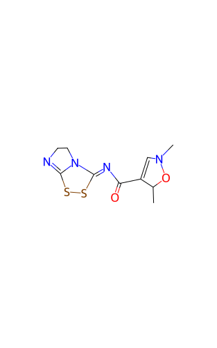 CC1ON(C)C=C1C(=O)N=C1SSC2=NCCN21